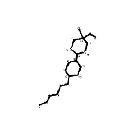 CCCCCCC1CCC(C2SCC(C)(CC)CS2)CC1